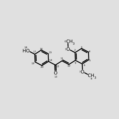 COc1cccc(OC)c1/C=C/C(=O)c1ccc(O)cc1